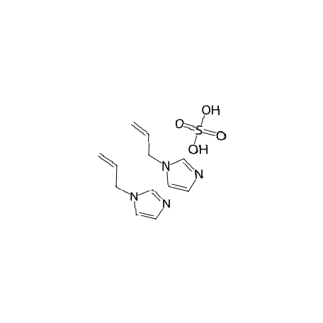 C=CCn1ccnc1.C=CCn1ccnc1.O=S(=O)(O)O